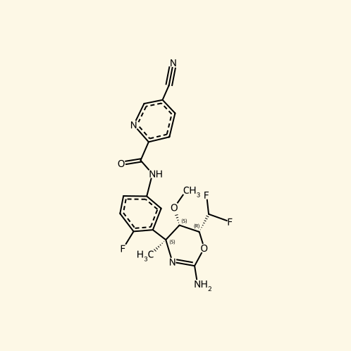 CO[C@@H]1[C@H](C(F)F)OC(N)=N[C@@]1(C)c1cc(NC(=O)c2ccc(C#N)cn2)ccc1F